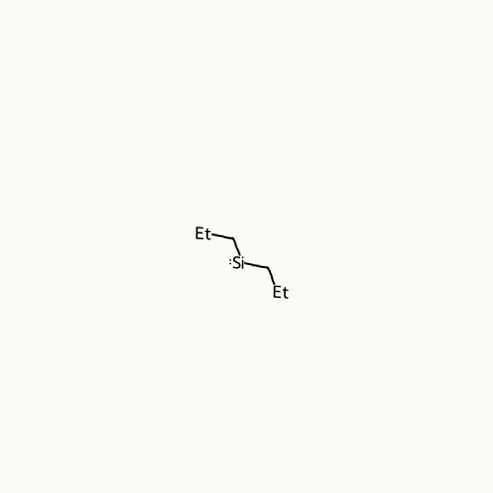 CCC[Si]CCC